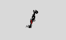 O=C(Oc1ccc(CSc2ncc[nH]2)cc1)N1CCN(CCCc2ccccn2)CC1